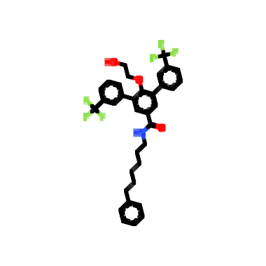 O=C(NCCCCCCc1ccccc1)c1cc(-c2cccc(C(F)(F)F)c2)c(OCCO)c(-c2cccc(C(F)(F)F)c2)c1